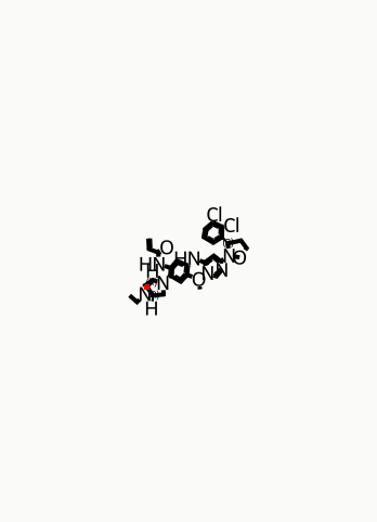 C=CC(=O)Nc1cc(Nc2cc(N3OCC[C@@H]3c3cccc(Cl)c3Cl)ncn2)c(OC)cc1N1C[C@H]2C[C@@H]1CN2CC